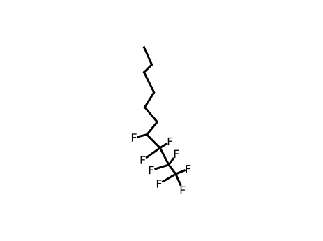 CCCCCCC(F)C(F)(F)C(F)(F)C(F)(F)F